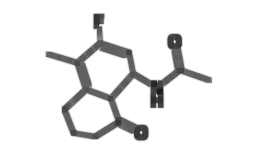 CC(=O)NC1C=C(F)C(C)=C2CCCC(=O)C21